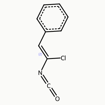 O=C=N/C(Cl)=C/c1ccccc1